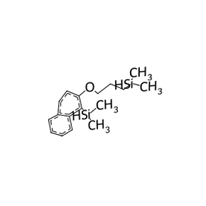 C[SiH](C)CCCOc1ccc2ccccc2c1[SiH](C)C